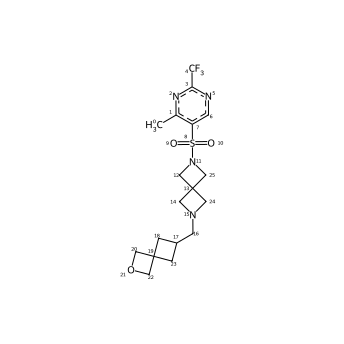 Cc1nc(C(F)(F)F)ncc1S(=O)(=O)N1CC2(CN(CC3CC4(COC4)C3)C2)C1